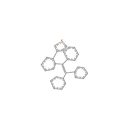 c1ccc(C(=C(c2ccccc2)c2ccccc2-c2ccsc2)c2ccccc2)cc1